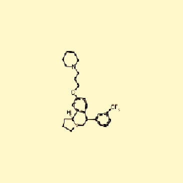 FC(F)(F)c1cccc([C@H]2CN3CCC[C@H]3c3cc(OCCCN4CCCCC4)ccc32)c1